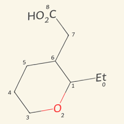 CCC1OCCCC1CC(=O)O